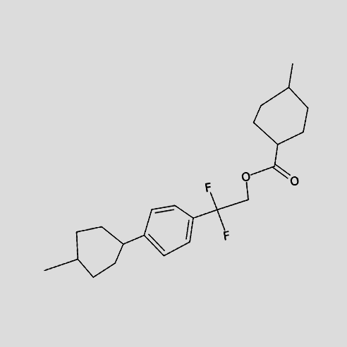 CC1CCC(C(=O)OCC(F)(F)c2ccc(C3CCC(C)CC3)cc2)CC1